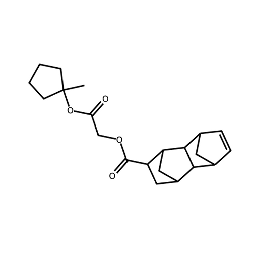 CC1(OC(=O)COC(=O)C2CC3CC2C2C4C=CC(C4)C32)CCCC1